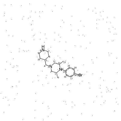 CC1CN(CC2CCNCC2)CC(C)N1c1ccc(Br)cc1